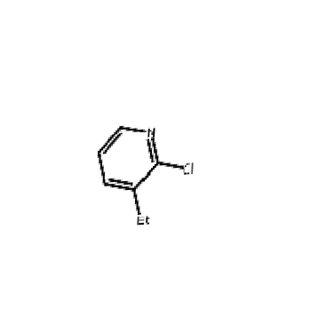 CCc1cccnc1Cl